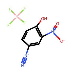 F[B-](F)(F)F.N#[N+]c1ccc(O)c([N+](=O)[O-])c1